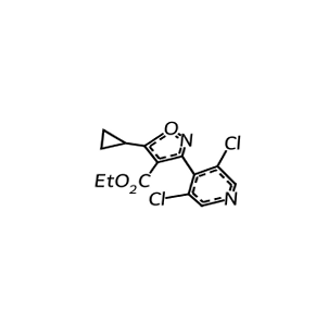 CCOC(=O)c1c(-c2c(Cl)cncc2Cl)noc1C1CC1